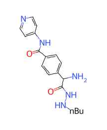 CCCCNNC(=O)C(N)c1ccc(C(=O)Nc2ccncc2)cc1